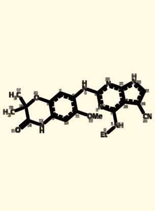 CCNc1nc(Nc2cc3c(cc2OC)NC(=O)C(C)(C)O3)nc2[nH]cc(C#N)c12